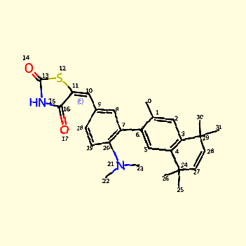 Cc1cc2c(cc1-c1cc(/C=C3/SC(=O)NC3=O)ccc1N(C)C)C(C)(C)C=CC2(C)C